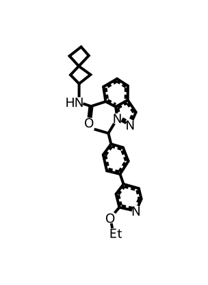 CCOc1cc(-c2ccc(C(C)n3ncc4cccc(C(=O)NC5CC6(CCC6)C5)c43)cc2)ccn1